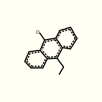 CCc1c2ccccc2c(Cl)c2ccccc12